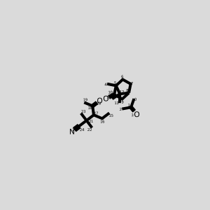 CC(C)=O.CC12CCC(CC1=O)C2(C)C.CCC(C(C)=O)C(C)(C)C#N